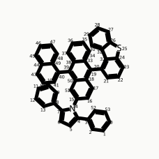 c1ccc(-c2ccc(-c3ccccc3)n2-c2ccc3c(-c4cccc5sc6ccccc6c45)c4ccccc4c(-c4cccc5ccccc45)c3c2)cc1